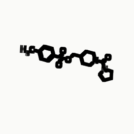 Cc1ccc(S(=O)(=O)OCC2CCN(C(=O)N3CCCC3)CC2)cc1